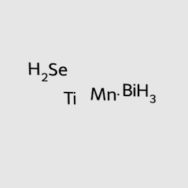 [BiH3].[Mn].[SeH2].[Ti]